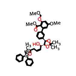 COCOc1cc(OC)cc(-c2cccc([C@H]3OC(C)(C)O[C@@H]3C(O)/C=C\C[C@@H](C)O[Si](c3ccccc3)(c3ccccc3)C(C)(C)C)c2)c1C(=O)OC